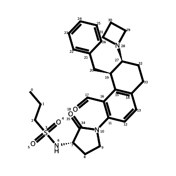 CCCS(=O)(=O)N[C@H]1CCN(c2ccc3c(c2C=O)[C@@H](Cc2ccccc2)[C@@H](N2CCC2)CC3)C1=O